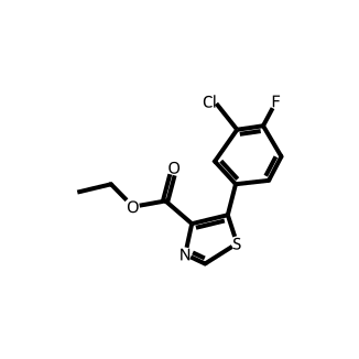 CCOC(=O)c1ncsc1-c1ccc(F)c(Cl)c1